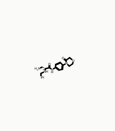 CC(C)CN[C@H](CN)C(=O)Nc1ccc(N2CCOCC2=O)cc1